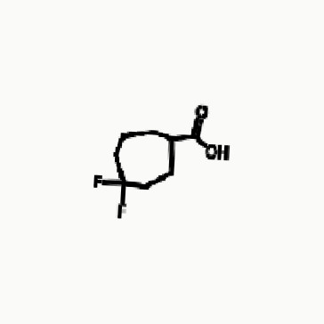 O=C(O)C1CCCC(F)(F)CC1